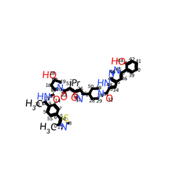 Cc1ncsc1-c1ccc([C@H](C)NC(=O)[C@@H]2C[C@@H](O)CN2C(=O)[C@@H](c2cc(C3CCN(C(=O)c4cc5cc(-c6ccccc6O)nnc5[nH]4)CC3)no2)C(C)C)cc1